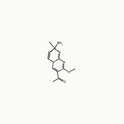 COC1=NC2=NC(C)(N)C=CN2C=C1C(C)=O